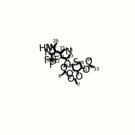 CC(=O)O[C@@H]1[C@@H](OC(C)=O)[C@@H](Oc2cncc(-c3c(C(F)(F)F)n[nH]c3C)c2)SC[C@H]1OC(C)=O